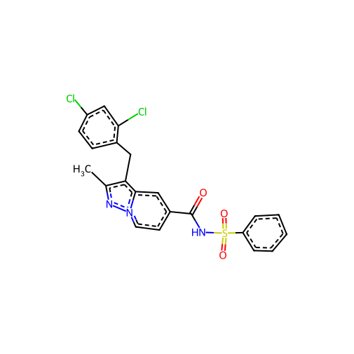 Cc1nn2ccc(C(=O)NS(=O)(=O)c3ccccc3)cc2c1Cc1ccc(Cl)cc1Cl